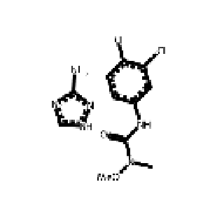 CON(C)C(=O)Nc1ccc(Cl)c(Cl)c1.Nc1nc[nH]n1